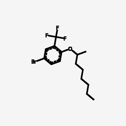 CCCCCCC(C)Oc1ccc(Br)cc1C(F)(F)F